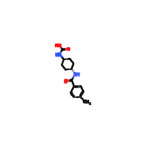 Cc1ccc(C(=O)N[C@H]2CC[C@H](NC(=O)O)CC2)cc1